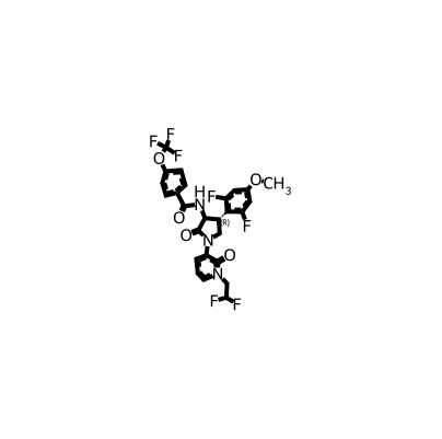 COc1cc(F)c([C@@H]2CN(c3cccn(CC(F)F)c3=O)C(=O)C2NC(=O)c2ccc(OC(F)(F)F)cc2)c(F)c1